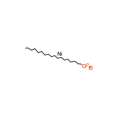 CCCCCCCCCCCCCCCCCCOP=O.[Ni]